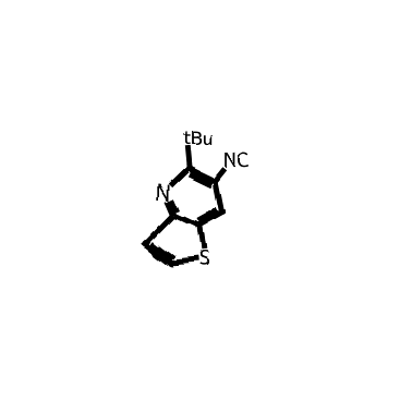 [C-]#[N+]c1cc2sccc2nc1C(C)(C)C